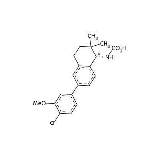 COc1cc(-c2ccc3c(c2)CCC(C)(C)[C@@H]3NC(=O)O)ccc1Cl